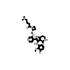 COc1c(Cl)cccc1Nc1c(-c2ccncc2OC[C@H]2CCN2C(=O)/C=C/CN(C)C)[nH]c2c1C(=O)NCC2